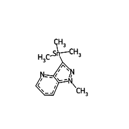 Cn1n[c]([Sn]([CH3])([CH3])[CH3])c2ncccc21